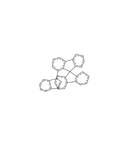 C1=CC(c2cccc3c2C2(c4ccccc4-c4ccccc42)c2ccccc2-3)c2ccccc21